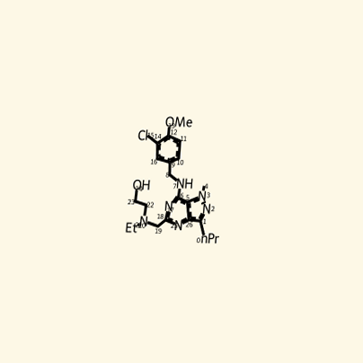 CCCc1nn(C)c2c(NCc3ccc(OC)c(Cl)c3)nc(CN(CC)CCO)nc12